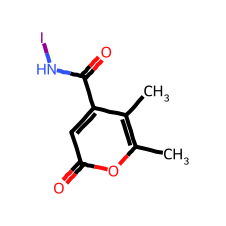 Cc1oc(=O)cc(C(=O)NI)c1C